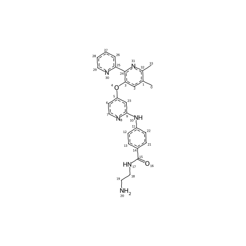 Cc1cc(Oc2ccnc(Nc3ccc(C(=O)NCCN)cc3)c2)c(-c2ccccn2)nc1C